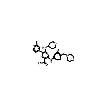 Cc1cc(-c2nc(C(N)=O)c(Nc3ccc(CN4CCOCC4)c(C)c3)nc2NC2CCOCC2)ccn1